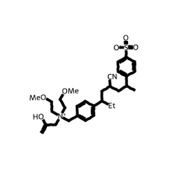 C=C(O)C[N+](CCOC)(CCOC)Cc1ccc(C(CC)CC(C#N)CC(C)c2ccc(S(=O)(=O)[O-])cc2)cc1